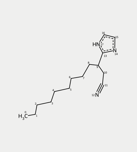 CCCCCCCCCC(CC#N)c1ncc[nH]1